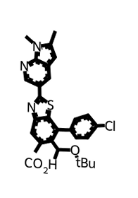 Cc1cc2nc(-c3cnc4c(c3)cc(C)n4C)sc2c(-c2ccc(Cl)cc2)c1C(OC(C)(C)C)C(=O)O